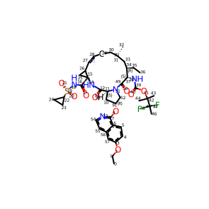 CCOc1ccc2c(O[C@@H]3C[C@H]4C(=O)N[C@]5(C(=O)NS(=O)(=O)C6CC6)CC5/C=C\CC[C@H](C)C[C@@H](CC)[C@H](NC(=O)OC(C)(C)C(C)(F)F)C(=O)N4C3)nccc2c1